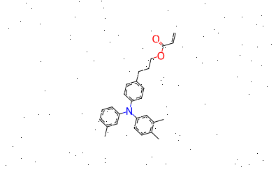 C=CC(=O)OCCCc1ccc(N(c2cccc(C)c2)c2ccc(C)c(C)c2)cc1